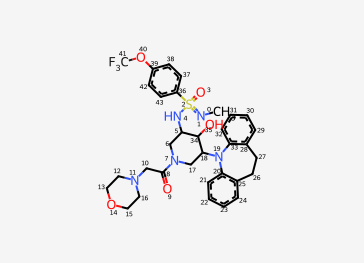 CN=S(=O)(NC1CN(C(=O)CN2CCOCC2)CC(N2c3ccccc3CCc3ccccc32)C1O)c1ccc(OC(F)(F)F)cc1